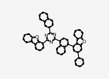 c1ccc(-c2cc(-c3ccc(-c4nc(-c5ccc6ccccc6c5)nc(-c5cccc6c5oc5ccccc56)n4)c4ccccc34)c3c(c2)oc2ccccc23)cc1